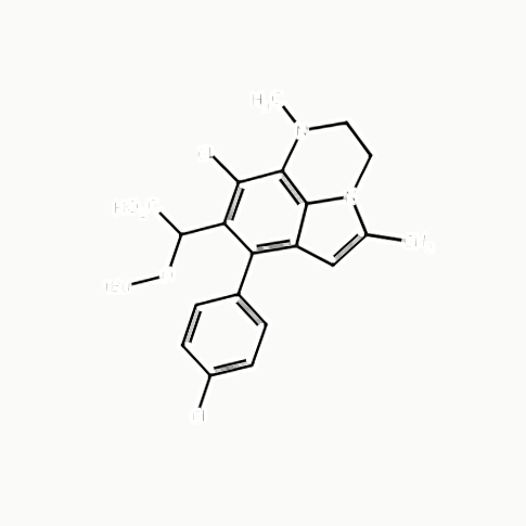 Cc1cc2c(-c3ccc(Cl)cc3)c(C(OC(C)(C)C)C(=O)O)c(Cl)c3c2n1CCN3C